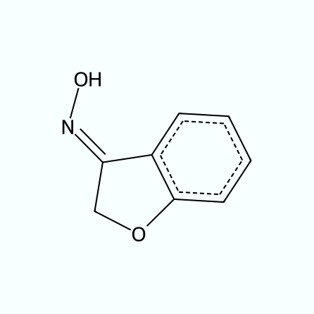 O/N=C1/COc2ccccc21